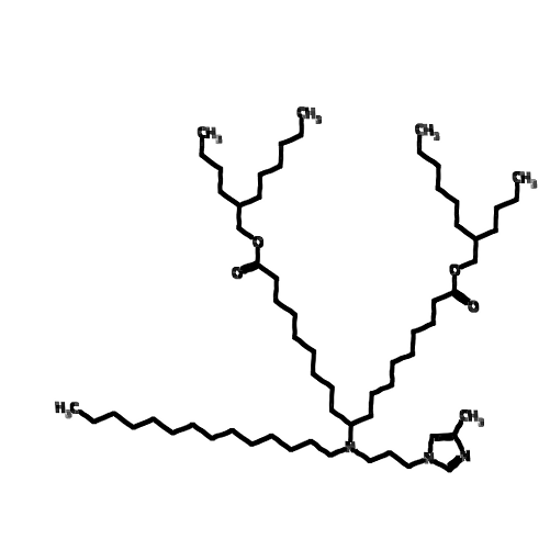 CCCCCCCCCCCCCCN(CCCn1cnc(C)c1)C(CCCCCCCCC(=O)OCC(CCCC)CCCCCC)CCCCCCCCC(=O)OCC(CCCC)CCCCCC